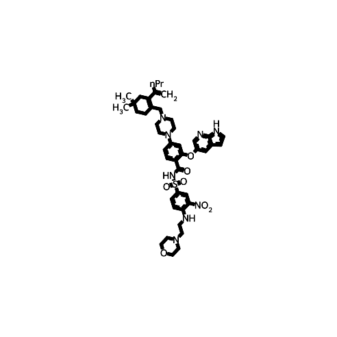 C=C(CCC)C1=C(CN2CCN(c3ccc(C(=O)NS(=O)(=O)c4ccc(NCCN5CCOCC5)c([N+](=O)[O-])c4)c(Oc4cnc5[nH]ccc5c4)c3)CC2)CCC(C)(C)C1